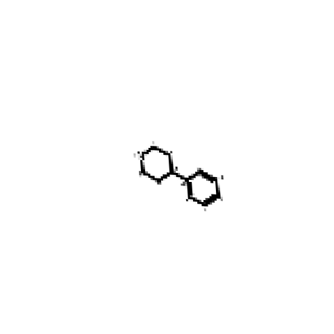 c1ccc(C2CC[N]CC2)cc1